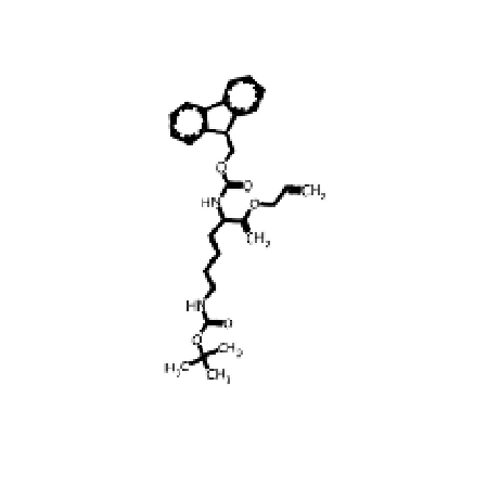 C=CCOC(=C)C(CCCCNC(=O)OC(C)(C)C)NC(=O)OCC1c2ccccc2-c2ccccc21